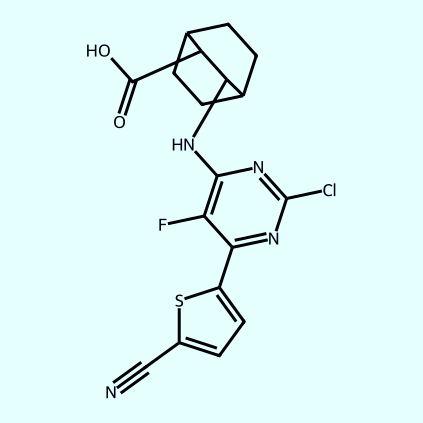 N#Cc1ccc(-c2nc(Cl)nc(NC3C4CCC(CC4)C3C(=O)O)c2F)s1